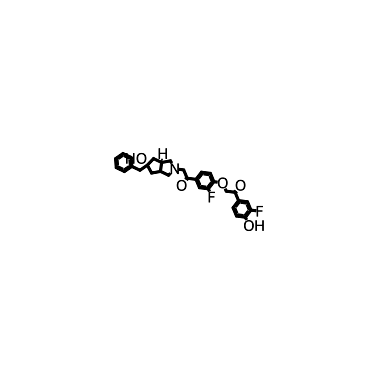 O=C(COc1ccc(C(=O)CN2CC3C[C@](O)(Cc4ccccc4)C[C@H]3C2)cc1F)c1ccc(O)c(F)c1